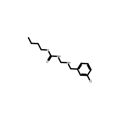 CCCCOC(=O)NCNCc1cccc(Cl)c1